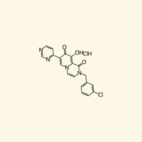 Cl.O=c1c(-c2ccncn2)cn2ccn(Cc3cccc(Cl)c3)c(=O)c2c1O